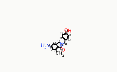 Cc1cc(N)cc2c1C(=O)N(Cc1ccc(O)cc1)C2